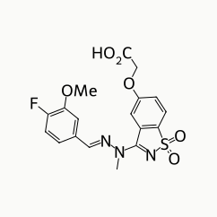 COc1cc(/C=N/N(C)C2=NS(=O)(=O)c3ccc(OCC(=O)O)cc32)ccc1F